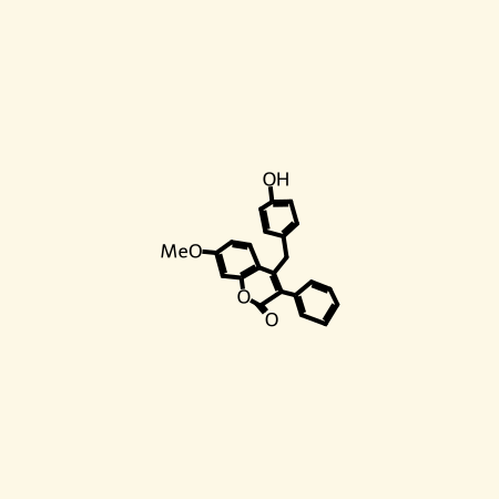 COc1ccc2c(Cc3ccc(O)cc3)c(-c3ccccc3)c(=O)oc2c1